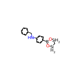 c1ccc(CNc2ccc(B3O[SiH2]C[SiH2]O3)cc2)cc1